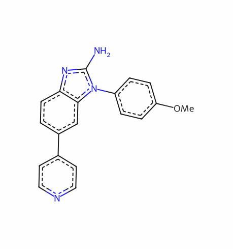 COc1ccc(-n2c(N)nc3ccc(-c4ccncc4)cc32)cc1